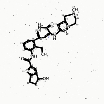 CCc1c(NC(=O)c2cc3c(s2)CCC3O)cccc1C(=N)/C=C(/Nc1cc2n(n1)CCN(C)C2)C(N)=O